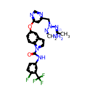 C=NN(Cc1cc(Oc2ccc3c(ccn3C(=O)Nc3ccc(F)c(C(F)(F)F)c3)c2)ncn1)/N=C(/C)N